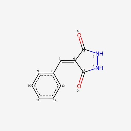 O=C1NNC(=O)C1=Cc1ccccc1